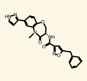 CN1C(=O)[C@@H](NC(=O)c2cc(Cc3ccccc3)on2)COc2ccc(-c3cc[nH]n3)cc21